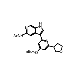 CCCCOc1cc(-c2c[nH]c3cnc(NC(C)=O)cc23)nc(C2CCOC2)c1